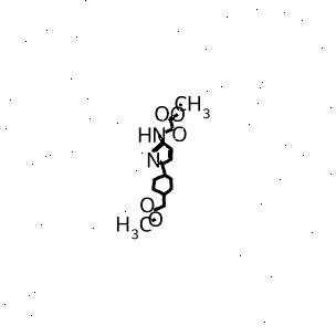 COC(=O)CC1CCC(c2ccc(NC(=O)C(=O)OC)cn2)CC1